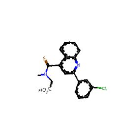 CN(CC(=O)O)C(=S)c1cc(-c2cccc(Cl)c2)nc2ccccc12